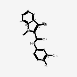 Cn1c(C(=O)Nc2ccc(F)c(Cl)c2)c(Br)c2ccccc21